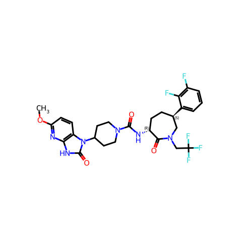 COc1ccc2c(n1)[nH]c(=O)n2C1CCN(C(=O)N[C@@H]2CC[C@@H](c3cccc(F)c3F)CN(CC(F)(F)F)C2=O)CC1